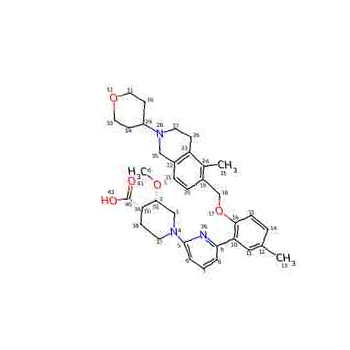 CO[C@@H]1CN(c2cccc(-c3cc(C)ccc3OCc3ccc4c(c3C)CCN(C3CCOCC3)C4)n2)CC[C@@H]1C(=O)O